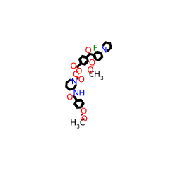 COCOc1ccc(C(=O)NC2CCCCN(C(=O)OOC(=O)c3ccc(C(=O)c4c(OCOC)ccc(N5CCCCC5)c4F)cc3)C2)cc1